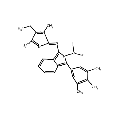 CCC1=C(C)/C(=N/c2c3ccccc3c(-c3cc(C)c(C)c(C)c3)n2B(F)F)N=C1C